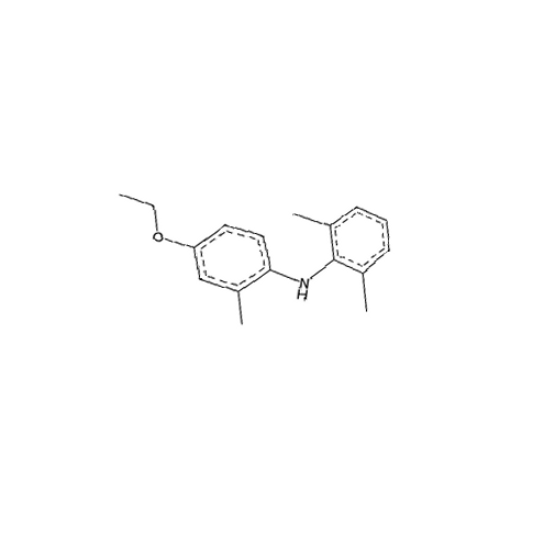 CCOc1ccc(Nc2c(C)cccc2C)c(C)c1